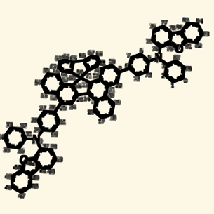 c1ccc(N(c2ccc(-c3ccc4c5c(c6ccccc6c4c3)-c3cc(-c4ccc(N(c6ccccc6)c6cccc7c6oc6ccccc67)cc4)c4ccccc4c3C53c4ccccc4-c4ccccc43)cc2)c2cccc3c2oc2ccccc23)cc1